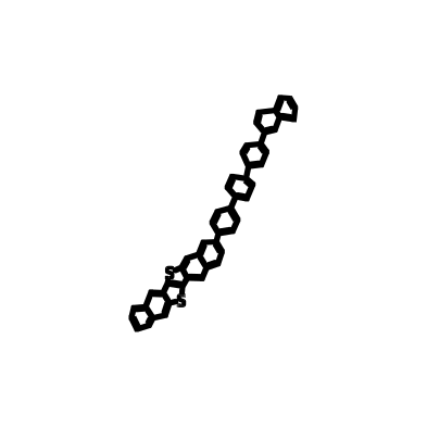 c1ccc2cc(-c3ccc(-c4ccc(-c5ccc(-c6ccc7cc8c(cc7c6)sc6c7cc9ccccc9cc7sc86)cc5)cc4)cc3)ccc2c1